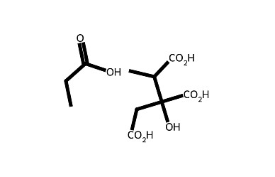 CC(C(=O)O)C(O)(CC(=O)O)C(=O)O.CCC(=O)O